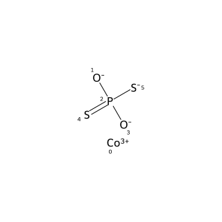 [Co+3].[O-]P([O-])(=S)[S-]